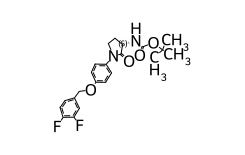 CC(C)(C)OC(=O)N[C@H]1CCN(c2ccc(OCc3ccc(F)c(F)c3)cc2)C1=O